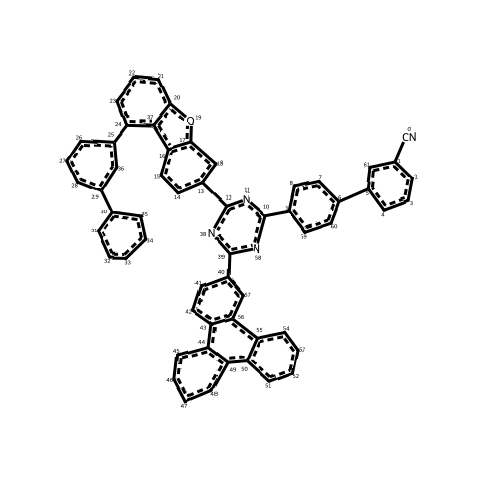 N#Cc1cccc(-c2ccc(-c3nc(-c4ccc5c(c4)oc4cccc(-c6cccc(-c7ccccc7)c6)c45)nc(-c4ccc5c6ccccc6c6ccccc6c5c4)n3)cc2)c1